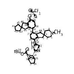 CN1CCC2(CC1)Cc1c(-c3cnc([C@@H]4C5CCC(C5)N4C(=O)OC(C)(C)C)[nH]3)ccc(-c3ccc(OS(=O)(=O)C(F)(F)F)c4c3CC3(CCCC3)C4)c1C2